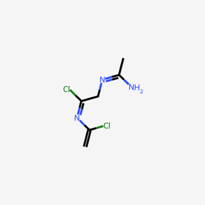 C=C(Cl)/N=C(/Cl)C/N=C(/C)N